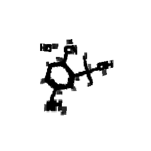 CC(C)(O)c1cc(N)ccc1C#N.Cl